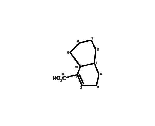 O=C(O)C1=CCCC2CCCCC12